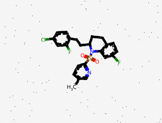 Cc1ccc(S(=O)(=O)N2c3cc(F)ccc3CCC2CCc2ccc(Cl)cc2F)nc1